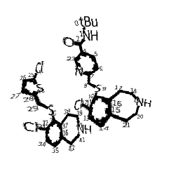 CC(C)(C)NC(=O)c1ccc(CSc2c(Cl)ccc3c2CCNCC3)nc1.Clc1ccc(CSc2c(Cl)ccc3c2CCNCC3)s1